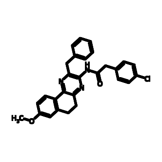 COc1ccc2c(c1)CCc1nc(NC(=O)Cc3ccc(Cl)cc3)c(Cc3ccccc3)nc1-2